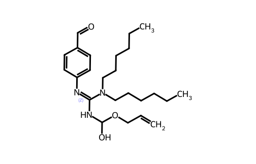 C=CCOC(O)N/C(=N/c1ccc(C=O)cc1)N(CCCCCC)CCCCCC